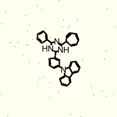 C1#CC(C2=NC(c3ccccc3)NC(c3cccc(-n4c5ccccc5c5ccccc54)c3)N2)C=CC=C1